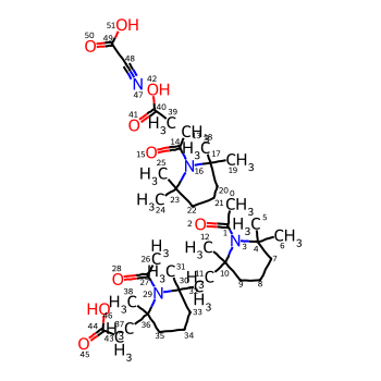 CC(=O)N1C(C)(C)CCCC1(C)C.CC(=O)N1C(C)(C)CCCC1(C)C.CC(=O)N1C(C)(C)CCCC1(C)C.CC(=O)O.CC(=O)O.N#CC(=O)O